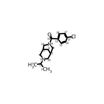 CC(C)N1CC2CC(CN(C(=O)c3ccc(Cl)cc3)C2)C1